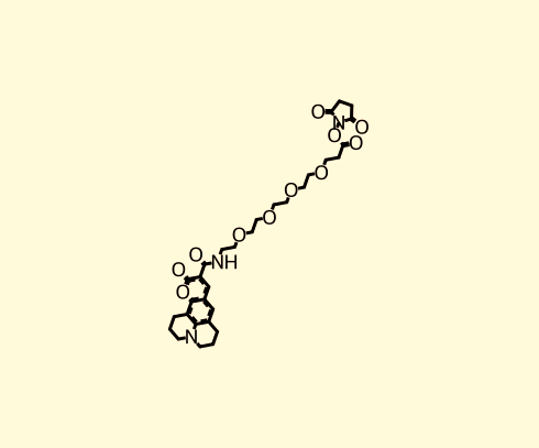 O=C(CCOCCOCCOCCOCCNC(=O)c1cc2cc3c4c(c2oc1=O)CCCN4CCC3)ON1C(=O)CCC1=O